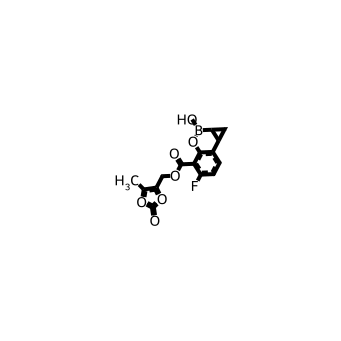 Cc1oc(=O)oc1COC(=O)c1c(F)ccc2c1OB(O)C1CC21